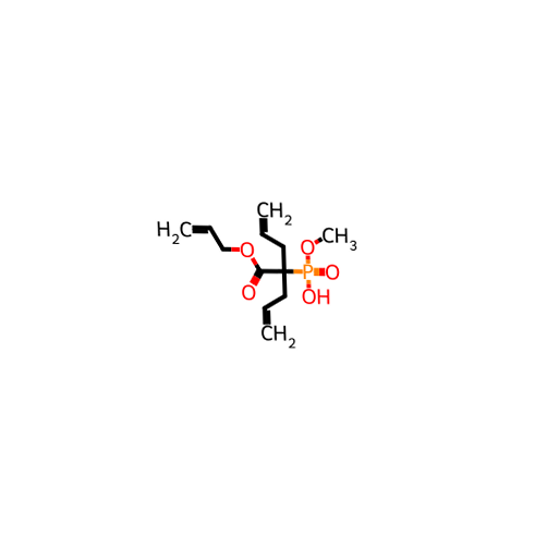 C=CCOC(=O)C(CC=C)(CC=C)P(=O)(O)OC